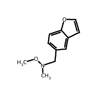 CON(C)Cc1ccc2occc2c1